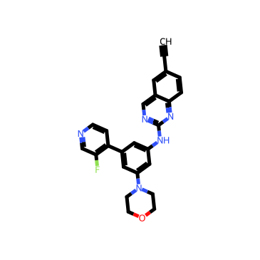 C#Cc1ccc2nc(Nc3cc(-c4ccncc4F)cc(N4CCOCC4)c3)ncc2c1